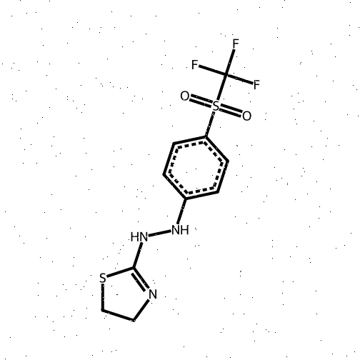 O=S(=O)(c1ccc(NNC2=NCCS2)cc1)C(F)(F)F